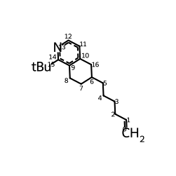 C=CCCCCC1CCc2c(ccnc2C(C)(C)C)C1